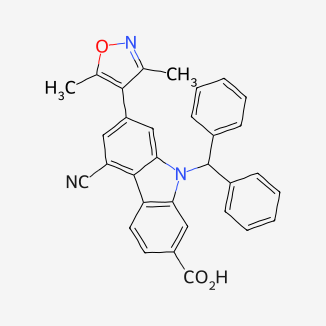 Cc1noc(C)c1-c1cc(C#N)c2c3ccc(C(=O)O)cc3n(C(c3ccccc3)c3ccccc3)c2c1